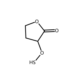 O=C1OCCC1OS